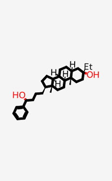 CC[C@]1(O)CC[C@@]2(C)[C@@H](CC[C@@H]3[C@@H]2CC[C@]2(C)[C@@H](CCCC(O)c4ccccc4)CC[C@@H]32)C1